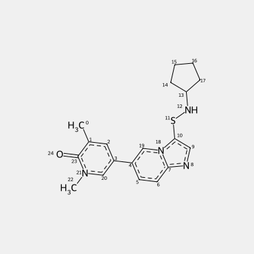 Cc1cc(-c2ccc3ncc(SNC4CCCC4)n3c2)cn(C)c1=O